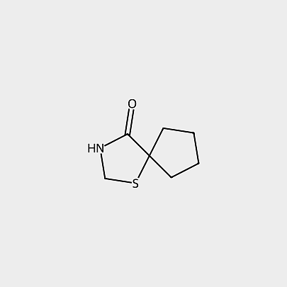 O=C1NCSC12CCCC2